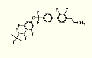 CCCc1ccc(-c2ccc(C(F)(F)Oc3cc(F)c(/C(F)=C(\F)C(F)(F)F)c(F)c3)cc2)c(F)c1F